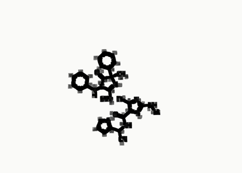 CCNc1nc(CC)c(C(=O)NC(C#N)c2cccs2)s1.CSC1=N[C@@](C)(c2ccccc2)C(=O)N1Nc1ccccc1